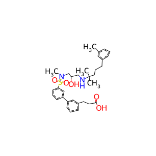 Cc1cccc(CCCC(C)(C)NCC(O)CN(C)S(=O)(=O)c2cccc(-c3cccc(CCC(=O)O)c3)c2)c1